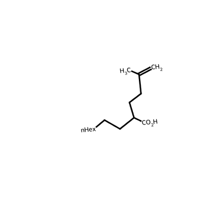 C=C(C)CCC(CCCCCCCC)C(=O)O